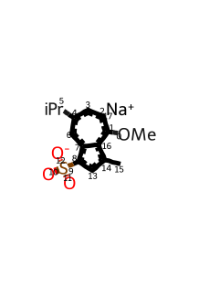 COc1ccc(C(C)C)cc2c(S(=O)(=O)[O-])cc(C)c1-2.[Na+]